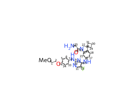 COCCOc1ccc(Nc2ncc(F)c(Nc3ccc4c(c3)N(C(=O)CN)CC43CCC3)n2)cc1